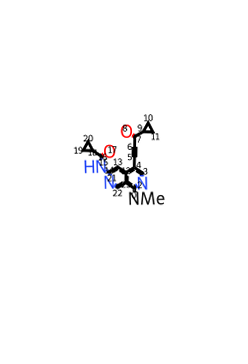 CNc1ncc(C#CC(=O)C2CC2)c2cc(NC(=O)C3CC3)ncc12